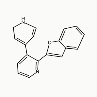 C1=CC(c2cccnc2-c2cc3ccccc3o2)=CCN1